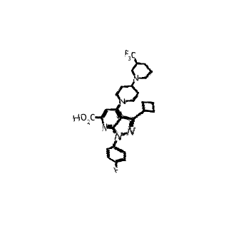 O=C(O)c1cc(N2CCC(N3CCCC(C(F)(F)F)C3)CC2)c2c(C3CCC3)nn(-c3ccc(F)cc3)c2n1